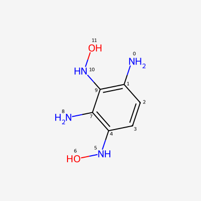 Nc1ccc(NO)c(N)c1NO